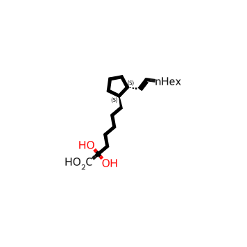 CCCCCCC=C[C@H]1CCC[C@@H]1CCCCCC(O)(O)C(=O)O